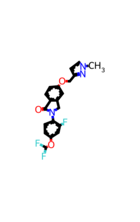 Cn1ccc(COc2ccc3c(c2)CN(c2ccc(OC(F)F)cc2F)C3=O)n1